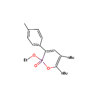 CCCCC1=C(CCCC)OP(=O)(OCC)C(c2ccc(C)cc2)=C1